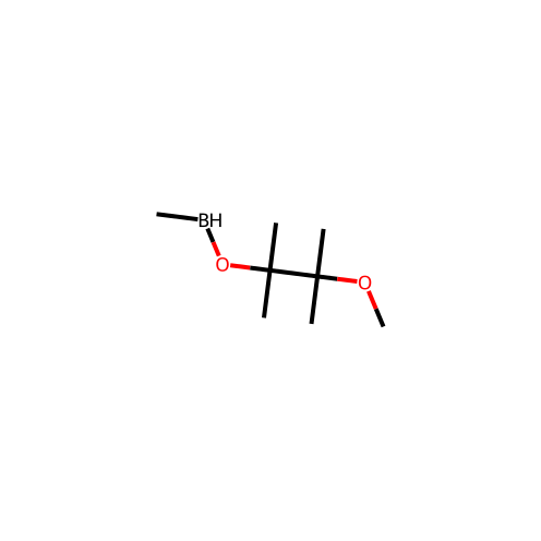 CBOC(C)(C)C(C)(C)OC